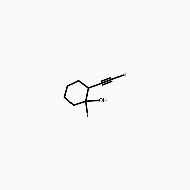 OC1(I)CCCCC1C#CI